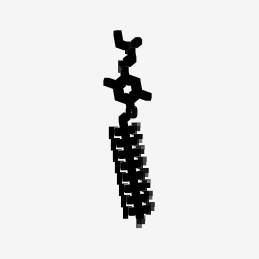 CCN(C)/C=N/c1cc(C)c(OCC(F)(F)C(F)(F)C(F)(F)C(F)(F)C(F)(F)C(F)(F)C(F)(F)C(F)(F)F)cc1C